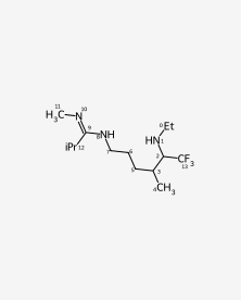 CCNC(C(C)CCCN/C(=N/C)C(C)C)C(F)(F)F